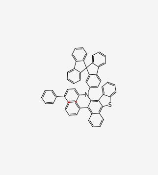 c1ccc(-c2ccc(N(c3ccc4c(c3)C3(c5ccccc5-c5ccccc53)c3ccccc3-4)c3c(-c4ccccc4)c4ccccc4c4sc5ccccc5c34)cc2)cc1